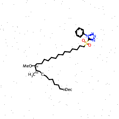 CCCCCCCCCCCCCCCCCC[C@H](C)[C@H](CCCCCCCCCCCCCCS(=O)(=O)c1nnnn1-c1ccccc1)OC